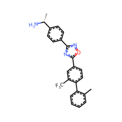 Cc1ccccc1-c1ccc(-c2nc(-c3ccc([C@@H](C)N)cc3)no2)cc1C(F)(F)F